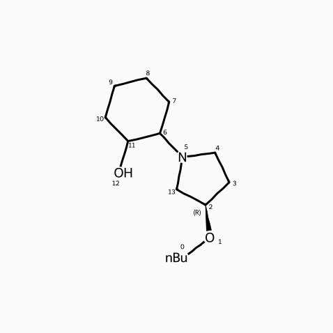 CCCCO[C@@H]1CCN(C2CCCCC2O)C1